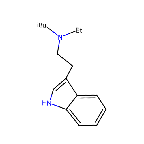 CCC(C)N(CC)CCc1c[nH]c2ccccc12